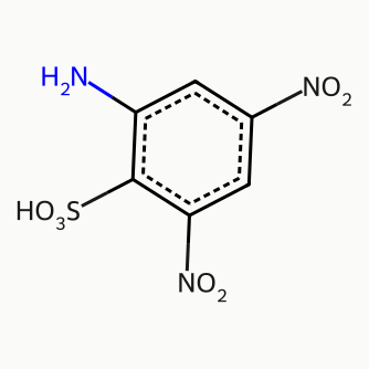 Nc1cc([N+](=O)[O-])cc([N+](=O)[O-])c1S(=O)(=O)O